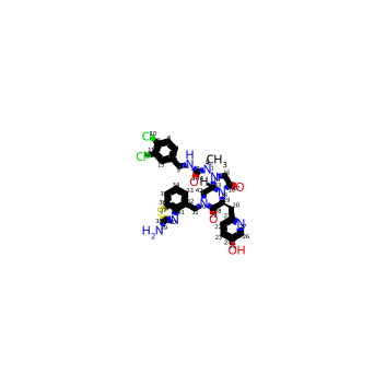 CN(C(=O)NCc1ccc(Cl)c(Cl)c1)N1CC(=O)N2[C@@H](Cc3ccc(O)cn3)C(=O)N(Cc3cccc4sc(N)nc34)C[C@@H]21